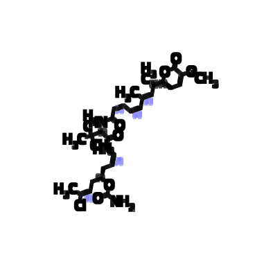 COC1=CC[C@@H]([C@@H](C)/C=C(C)/C=C\C=C/C(=O)N[C@H](C(=O)N/C=C\C[C@H](C/C=C(\C)Cl)OC(N)=O)C(C)(C)C)OC1=O